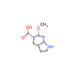 COc1nc2[nH]ccc2cc1C(=O)O